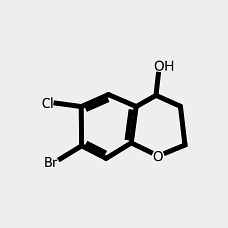 OC1CCOc2cc(Br)c(Cl)cc21